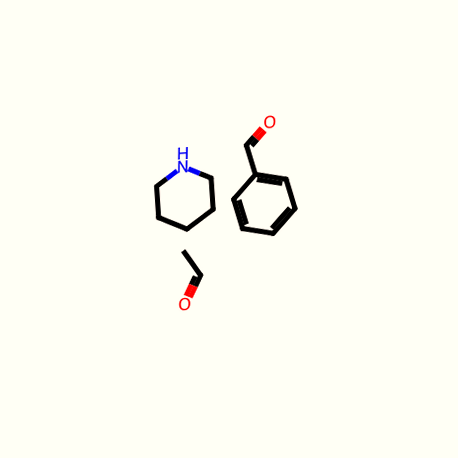 C1CCNCC1.CC=O.O=Cc1ccccc1